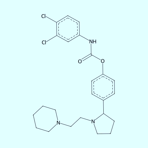 O=C(Nc1ccc(Cl)c(Cl)c1)Oc1ccc(C2CCCN2CCN2CCCCC2)cc1